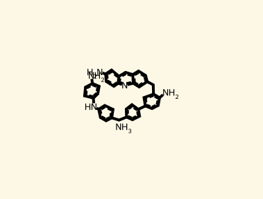 N.Nc1ccc(Nc2ccc(Cc3ccc(-c4ccc(N)c(Cc5ccc6cc7cc(N)ccc7nc6c5)c4)cc3)cc2)cc1